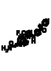 CN1CCC(N(C)C(=O)c2ccc(Nc3ncc(C(F)(F)F)c(N[C@@H]4CCC[C@@H]4C(=O)NCCC(N)=O)n3)cc2)CC1